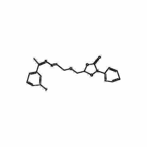 CC(=NN=CCOCC1OC(=O)N(c2ccccc2)O1)c1cccc(F)c1